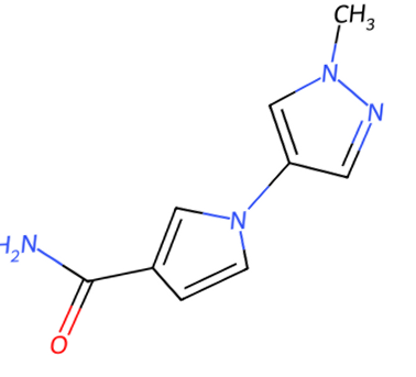 Cn1cc(-n2ccc(C(N)=O)c2)cn1